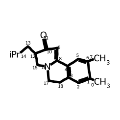 Cc1cc2c(cc1C)C1=CC(=O)C(CC(C)C)CN1CC2